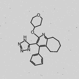 c1ccc(-c2c3c(nc(OC4CCOCC4)c2-c2nnn[nH]2)CCCCC3)cc1